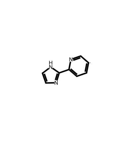 [c]1ccc(-c2ncc[nH]2)nc1